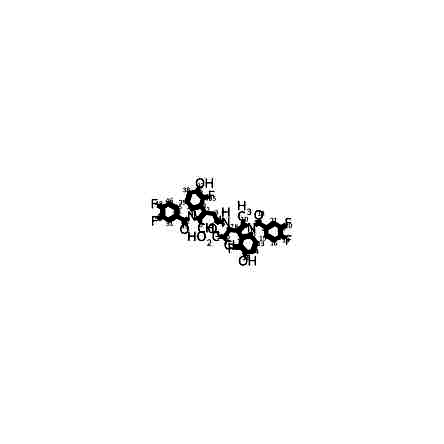 Cc1c(CC(=O)NC(c2c(C)n(C(=O)c3ccc(F)c(F)c3)c3ccc(O)c(F)c23)C(C)C(=O)O)c2c(F)c(O)ccc2n1C(=O)c1ccc(F)c(F)c1